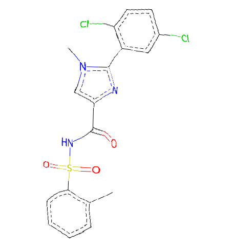 Cc1ccccc1S(=O)(=O)NC(=O)c1cn(C)c(-c2cc(Cl)ccc2Cl)n1